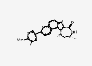 CSc1ncc(-c2ccc3c(ccc4sc5c(c43)NC[C@@H](C)NC5=O)n2)cc1F